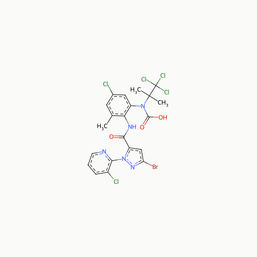 Cc1cc(Cl)cc(N(C(=O)O)C(C)(C)C(Cl)(Cl)Cl)c1NC(=O)c1cc(Br)nn1-c1ncccc1Cl